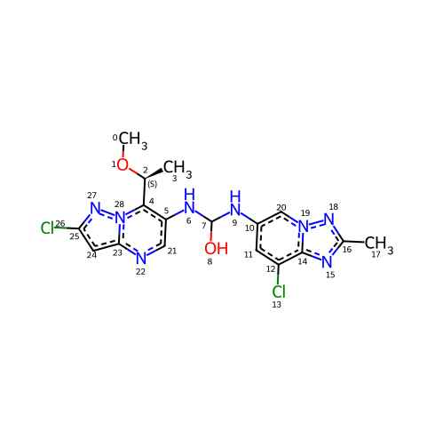 CO[C@@H](C)c1c(NC(O)Nc2cc(Cl)c3nc(C)nn3c2)cnc2cc(Cl)nn12